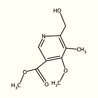 COC(=O)c1cnc(CO)c(C)c1OC